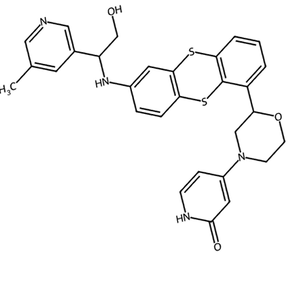 Cc1cncc(C(CO)Nc2ccc3c(c2)Sc2cccc(C4CN(c5cc[nH]c(=O)c5)CCO4)c2S3)c1